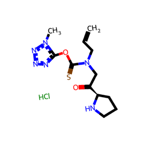 C=CCN(CC(=O)[C@H]1CCCN1)C(=S)Oc1nnnn1C.Cl